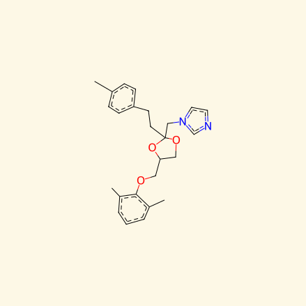 Cc1ccc(CCC2(Cn3ccnc3)OCC(COc3c(C)cccc3C)O2)cc1